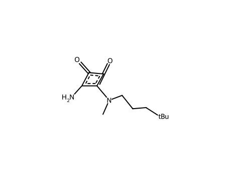 CN(CCCC(C)(C)C)c1c(N)c(=O)c1=O